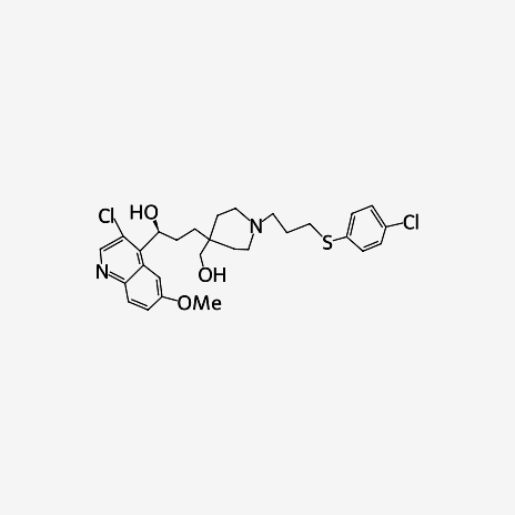 COc1ccc2ncc(Cl)c([C@@H](O)CCC3(CO)CCN(CCCSc4ccc(Cl)cc4)CC3)c2c1